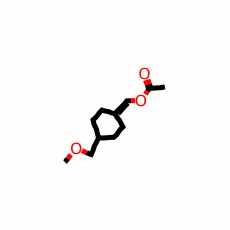 COCC1CCC(=COC(C)=O)CC1